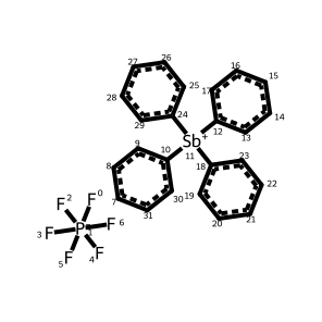 F[P-](F)(F)(F)(F)F.c1cc[c]([Sb+]([c]2ccccc2)([c]2ccccc2)[c]2ccccc2)cc1